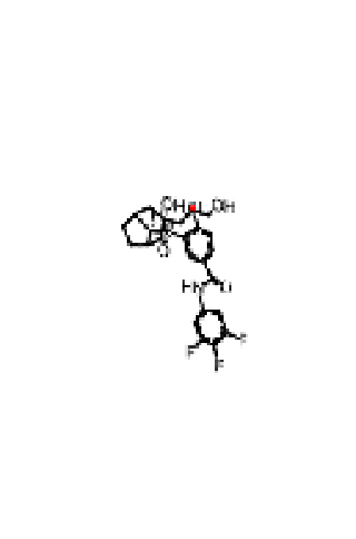 O=C(Nc1cc(F)c(F)c(F)c1)c1ccc(Cl)c(S(=O)(=O)[C@H]2C3CCC2C[C@](O)(CCCO)C3)c1